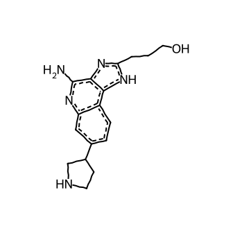 Nc1nc2cc(C3CCNC3)ccc2c2[nH]c(CCCO)nc12